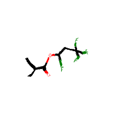 C=C(C)C(=O)OC(F)CC(F)(F)F